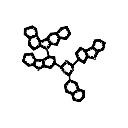 c1ccc2cc(-c3nc(-c4ccc5c(c4)oc4ccccc45)nc(-c4cc(-n5c6cc7ccccc7cc6c6c7ccccc7ccc65)c5c(c4)sc4ccccc45)n3)ccc2c1